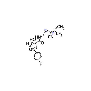 C=C/C(=C(C#N)\C=C/CNC(=O)C(C)(O)C[S+]([O-])c1ccc(F)cc1)C(F)(F)F